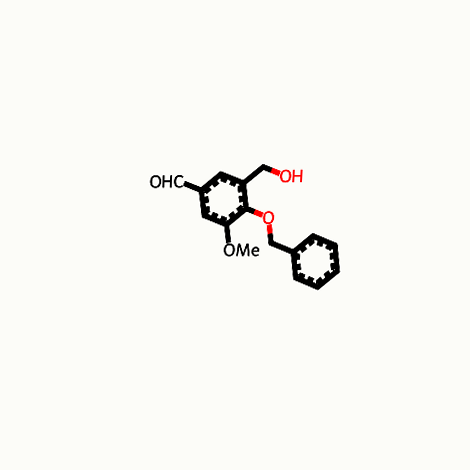 COc1cc(C=O)cc(CO)c1OCc1ccccc1